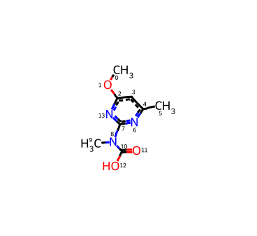 COc1cc(C)nc(N(C)C(=O)O)n1